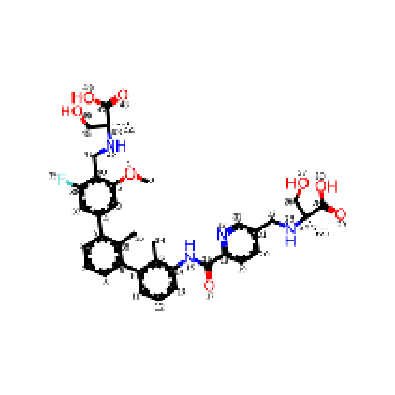 COc1cc(-c2cccc(-c3cccc(NC(=O)c4ccc(CN[C@@](C)(CO)C(=O)O)cn4)c3C)c2C)cc(F)c1CN[C@@](C)(CO)C(=O)O